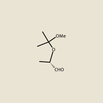 COC(C)(C)O[C@@H](C)C=O